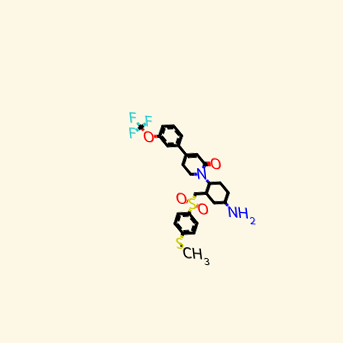 CSc1ccc(S(=O)(=O)CC2CC(N)CCC2N2CCC(c3cccc(OC(F)(F)F)c3)=CC2=O)cc1